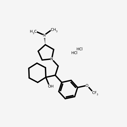 CN(C)[C@H]1CCN(CC(c2cccc(OC(F)(F)F)c2)C2(O)CCCCC2)C1.Cl.Cl